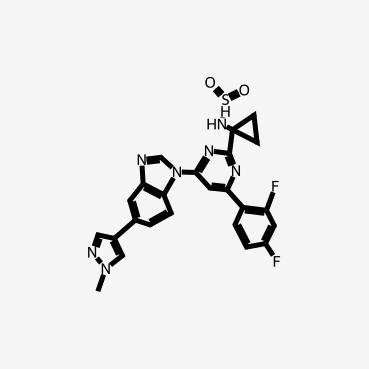 Cn1cc(-c2ccc3c(c2)ncn3-c2cc(-c3ccc(F)cc3F)nc(C3(N[SH](=O)=O)CC3)n2)cn1